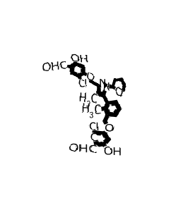 Cc1c(COc2cc(O)c(C=O)cc2Cl)cccc1-c1c(C)c(COc2cc(O)c(C=O)cc2Cl)nn1C1CCCCO1